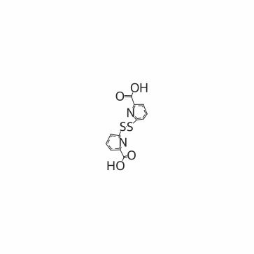 O=C(O)c1cccc(SSc2cccc(C(=O)O)n2)n1